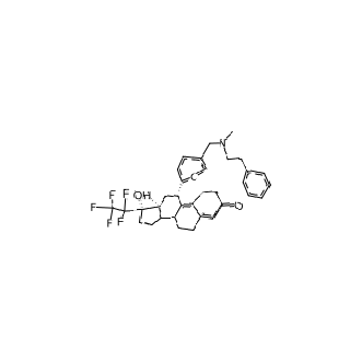 CN(CCc1ccccc1)Cc1ccc([C@H]2C[C@@]3(C)C(CC[C@@]3(O)C(F)(F)C(F)(F)F)C3CCC4=CC(=O)CCC4=C32)cc1